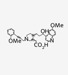 COc1ccc2nccc(C(O)CC[C@@H]3CCN(CC#Cc4ccccc4OC)C[C@@H]3CC(=O)O)c2c1